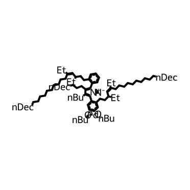 CCCCCCCCCCCCCCCCCCCCC(=CC(CC)CCc1ccccc1C1=C(CCCC)C(CCCCCCCCCCCCC)=C(c2ccccc2CCC(C=C(CC)CCCCCCCCCCCCCCCCCCCC)CC)[N+]1=[N-])CC.CCCC[O][Pd][O]CCCC